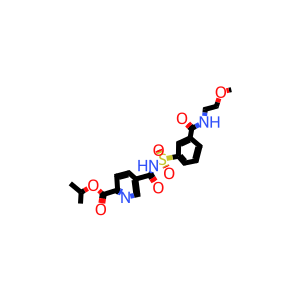 COCCNC(=O)c1cccc(S(=O)(=O)NC(=O)c2ccc(C(=O)OC(C)C)nc2)c1